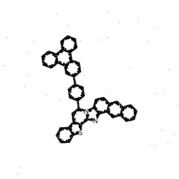 c1ccc2cc3c(ccc4c3nc3c5sc6ccccc6c5cc(-c5ccc(-c6ccc7c8ccccc8c8ccccc8c7c6)cc5)n43)cc2c1